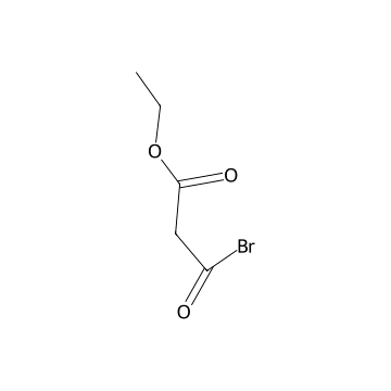 CCOC(=O)CC(=O)Br